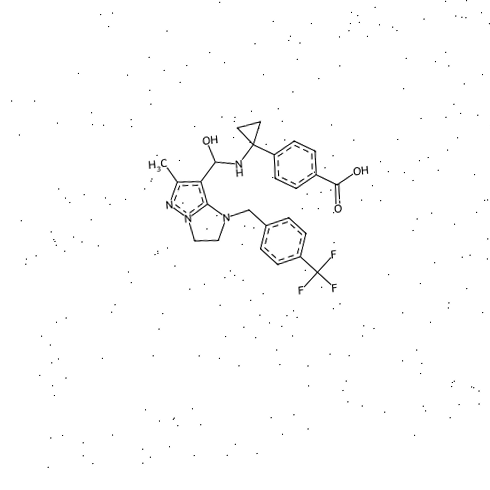 Cc1nn2c(c1C(O)NC1(c3ccc(C(=O)O)cc3)CC1)N(Cc1ccc(C(F)(F)F)cc1)CC2